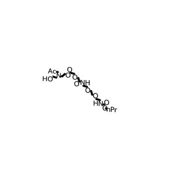 CCCOC(=O)NCCOCCOCCNC(=O)COCC(=O)OCCN(CCO)CC(C)=O